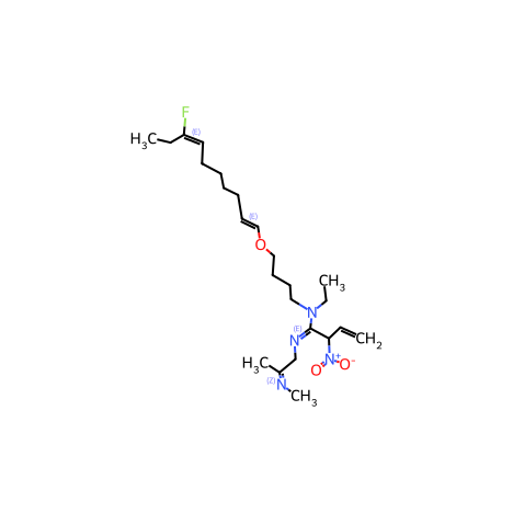 C=CC(/C(=N\C/C(C)=N\C)N(CC)CCCCO/C=C/CCCC/C=C(/F)CC)[N+](=O)[O-]